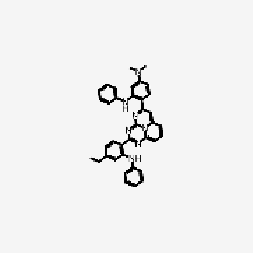 CCc1ccc(C2=NC3=CC=CC4=CC(c5ccc(N(C)C)cc5Nc5ccccc5)=NC(=N2)N43)c(Nc2ccccc2)c1